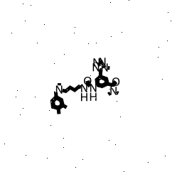 Cc1ccc(CN(C)CCCCNC(=O)Nc2cc(C(=O)N(C)C)cc(-c3nnnn3C)c2)cc1C